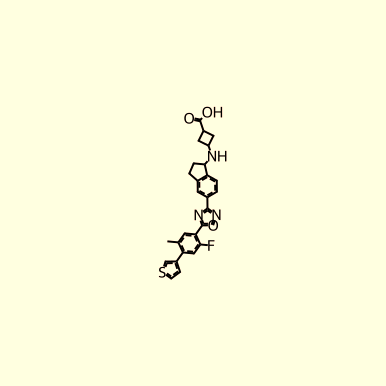 Cc1cc(-c2nc(-c3ccc4c(c3)CCC4NC3CC(C(=O)O)C3)no2)c(F)cc1-c1ccsc1